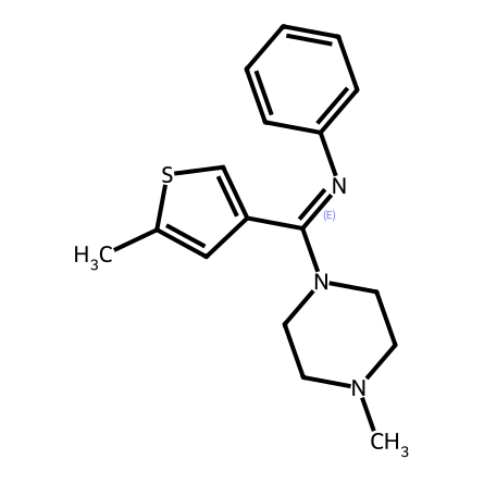 Cc1cc(/C(=N\c2ccccc2)N2CCN(C)CC2)cs1